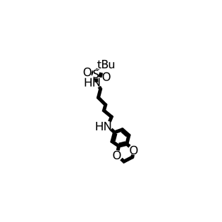 CC(C)(C)S(=O)(=O)NCCCCCNc1ccc2c(c1)OCCO2